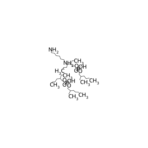 CCCCC(CC)COP(=O)(O)OCC(CC)CCCC.CCCCC(CC)COP(=O)(O)OCC(CC)CCCC.NCCCCCCN